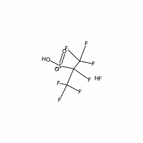 F.O=S(=O)(O)C(F)(C(F)(F)F)C(F)(F)F